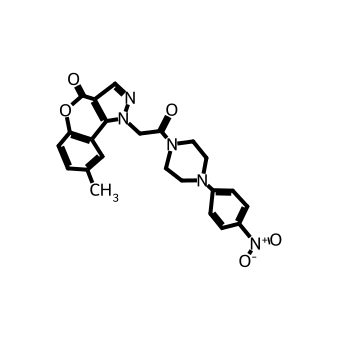 Cc1ccc2oc(=O)c3cnn(CC(=O)N4CCN(c5ccc([N+](=O)[O-])cc5)CC4)c3c2c1